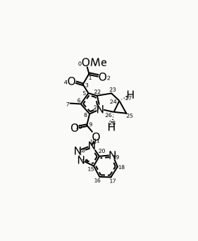 COC(=O)C(=O)c1c(C)c(C(=O)On2nnc3cccnc32)n2c1C[C@H]1C[C@H]12